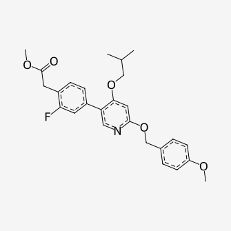 COC(=O)Cc1ccc(-c2cnc(OCc3ccc(OC)cc3)cc2OCC(C)C)cc1F